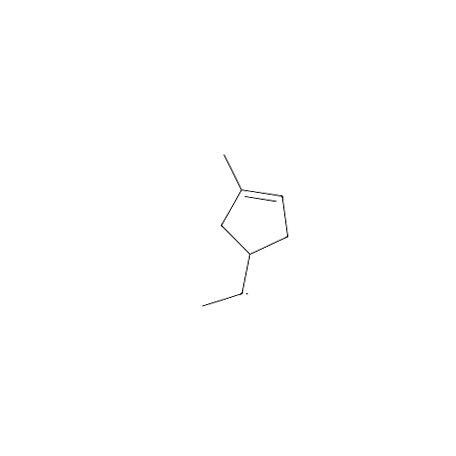 C[CH]C1CC=C(C)C1